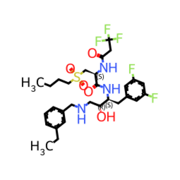 CCCCS(=O)(=O)C[C@@H](NC(=O)CC(F)(F)F)C(=O)N[C@@H](Cc1cc(F)cc(F)c1)[C@H](O)CNCc1cccc(CC)c1